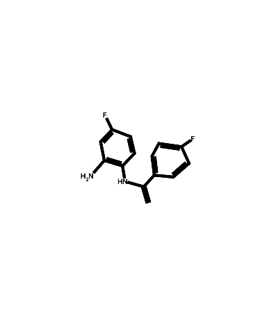 C=C(Nc1ccc(F)cc1N)c1ccc(F)cc1